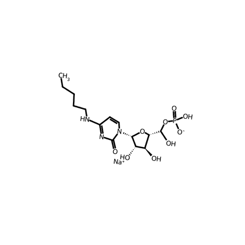 CCCCCNc1ccn([C@@H]2O[C@H](C(O)OP(=O)([O-])O)[C@@H](O)[C@@H]2O)c(=O)n1.[Na+]